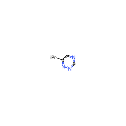 CC(C)c1cncnn1